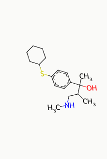 CNCC(C)C(C)(O)c1ccc(SC2CCCCC2)cc1